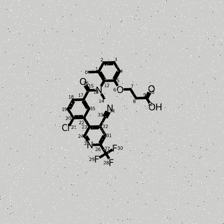 Cc1cccc(OCCC(=O)O)c1N(C)C(=O)c1ccc(Cl)c(-c2cnc(C(F)(F)F)cc2C#N)c1